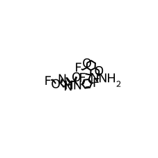 NC1=NC(CF)(c2cc(NC(=O)c3cnc(OCF)cn3)ccc2F)C2C(CF)OCCC2O1